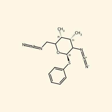 C[C@@H]1C(N=[N+]=[N-])[C@@H](Sc2ccccc2)OC(CN=[N+]=[N-])[C@@H]1C